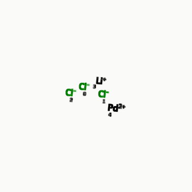 [Cl-].[Cl-].[Cl-].[Li+].[Pd+2]